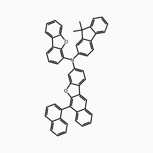 CC1(C)c2ccccc2-c2ccc(N(c3ccc4c(c3)oc3c(-c5cccc6ccccc56)c5ccccc5cc34)c3cccc4c3oc3ccccc34)cc21